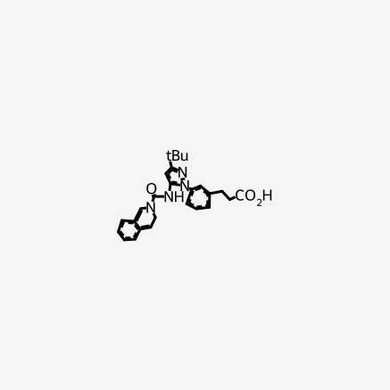 CC(C)(C)c1cc(NC(=O)N2C=c3ccccc3=CC2)n(-c2cccc(CCC(=O)O)c2)n1